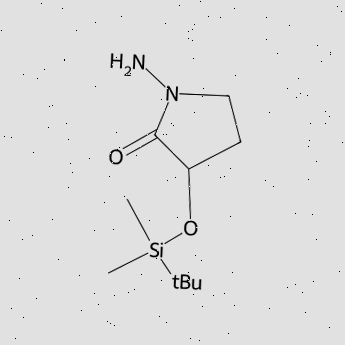 CC(C)(C)[Si](C)(C)OC1CCN(N)C1=O